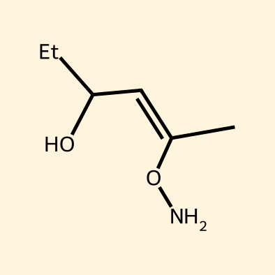 CCC(O)/C=C(/C)ON